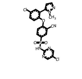 Cn1nccc1-c1cc(Cl)ccc1Oc1ccc(S(=O)(=O)Nc2ncc(Cl)cn2)cc1C#N